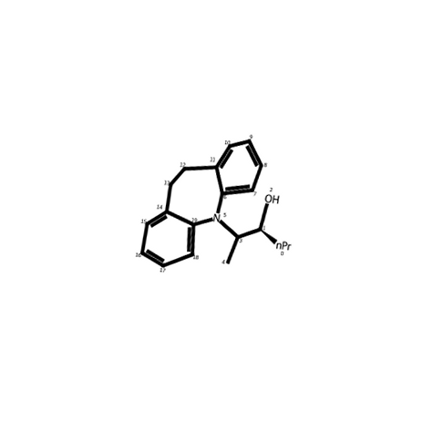 CCC[C@H](O)C(C)N1c2ccccc2CCc2ccccc21